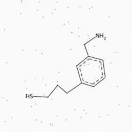 NCc1cccc(CCCS)c1